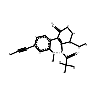 CC#Cc1ccc(C2=C(OC(=O)C(C)(C)C)C(CC)CCC2=O)c(OC)c1